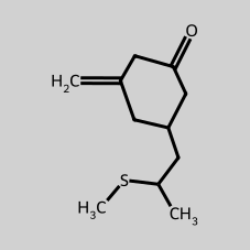 C=C1CC(=O)CC(CC(C)SC)C1